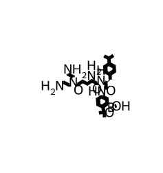 CC(C)c1ccc(C[C@@H](NC(=O)[C@@H](N)CCC(=O)N(CCN)CCN)C(=O)Nc2ccc3c(c2)B(O)OC3(C)C)cc1